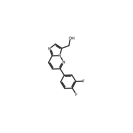 OCc1cnc2ccc(-c3ccc(F)c(F)c3)nn12